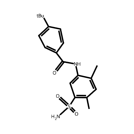 Cc1cc(C)c(S(N)(=O)=O)cc1NC(=O)c1ccc(C(C)(C)C)cc1